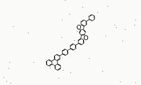 c1ccc(-c2ccc3oc4cc5c(cc4c3c2)oc2ccc(-c3ccc(-c4ccc(-c6ccc7c8ccccc8c8ccccc8c7c6)cc4)cc3)cc25)cc1